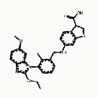 CCOc1nc2ccc(OC)cc2n1-c1cccc(CNc2ccc3c(c2)OCC3C(=O)O)c1C